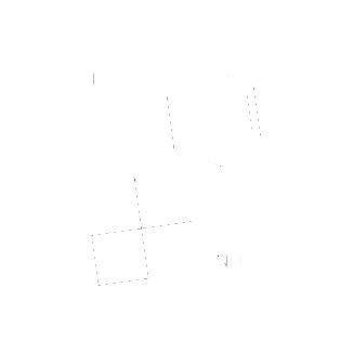 Cc1ccccc1CC1(CN)CCC1